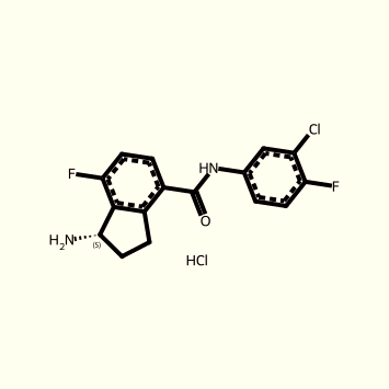 Cl.N[C@H]1CCc2c(C(=O)Nc3ccc(F)c(Cl)c3)ccc(F)c21